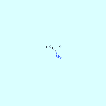 C=CN.[Y]